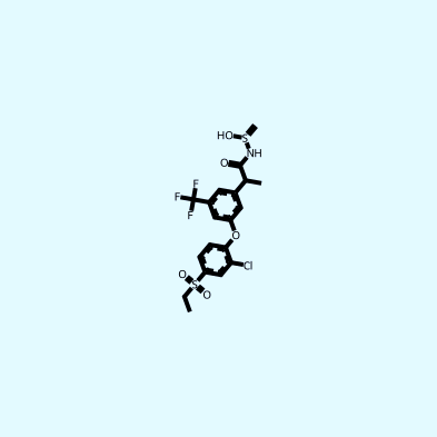 C=S(O)NC(=O)C(C)c1cc(Oc2ccc(S(=O)(=O)CC)cc2Cl)cc(C(F)(F)F)c1